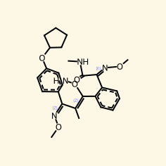 CNC(=O)/C(=N/OC)c1ccccc1/C(ON)=C(C)/C(=N\OC)c1ccc(OC2CCCC2)cc1